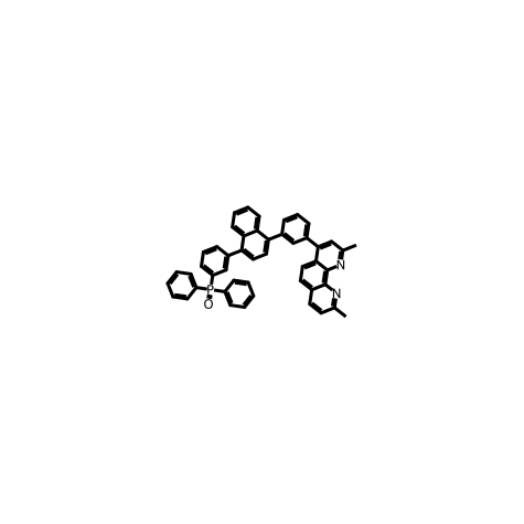 Cc1ccc2ccc3c(-c4cccc(-c5ccc(-c6cccc(P(=O)(c7ccccc7)c7ccccc7)c6)c6ccccc56)c4)cc(C)nc3c2n1